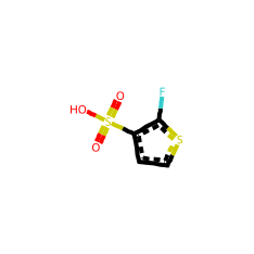 O=S(=O)(O)c1ccsc1F